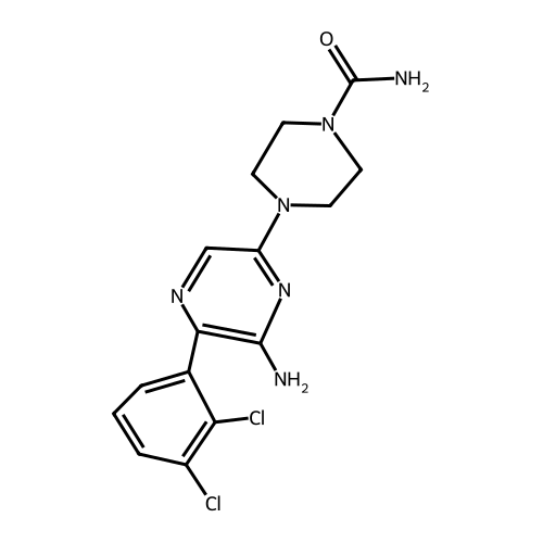 NC(=O)N1CCN(c2cnc(-c3cccc(Cl)c3Cl)c(N)n2)CC1